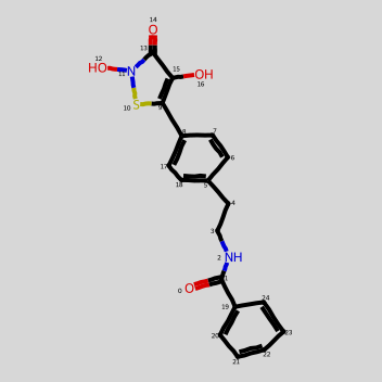 O=C(NCCc1ccc(-c2sn(O)c(=O)c2O)cc1)c1ccccc1